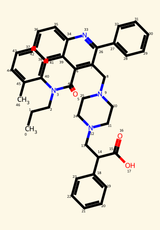 CCCN(C(=O)c1c(CN2CCN(CC(C(=O)O)c3ccccc3)CC2)c(-c2ccccc2)nc2ccccc12)c1ccccc1C